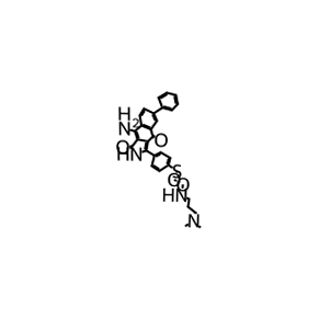 CN(C)CCCNOOSc1ccc(C2=C3C(=O)c4cc(-c5ccccc5)ccc4C(N)=C3C(=O)N2)cc1